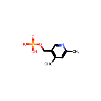 Cc1cc(C=O)c(COP(=O)(O)O)cn1